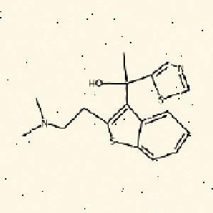 CN(C)CCc1sc2ccccc2c1C(C)(O)c1cncs1